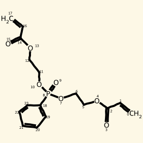 C=CC(=O)OCCOP(=O)(OCCOC(=O)C=C)c1ccccc1